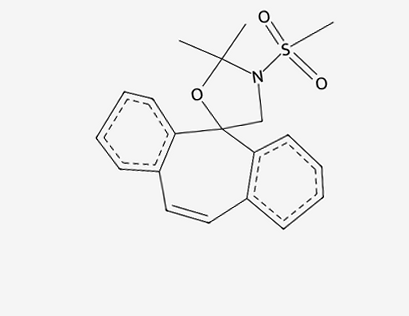 CC1(C)OC2(CN1S(C)(=O)=O)c1ccccc1C=Cc1ccccc12